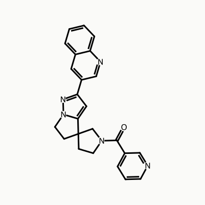 O=C(c1cccnc1)N1CCC2(CCn3nc(-c4cnc5ccccc5c4)cc32)C1